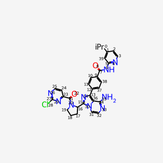 CC(C)c1ccnc(NC(=O)c2ccc(-c3nc(C4CCCN4C(=O)c4ccnc(Cl)n4)n4ccnc(N)c34)cc2)c1